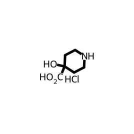 Cl.O=C(O)C1(O)CCNCC1